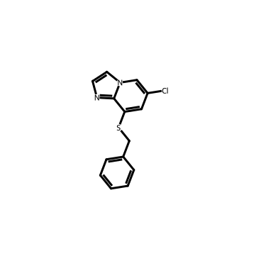 Clc1cc(SCc2ccccc2)c2nccn2c1